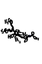 COCCN(CCOC)C(=O)[C@H](O)C(C)(C)COC(=O)/C=C/C(=O)O